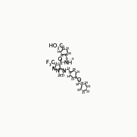 C[C@H](NC(=O)c1c(C(F)(F)F)nn2c1N(Cc1ccc(OCc3ccccc3)cc1)CC2)c1ccc(C(=O)O)cc1